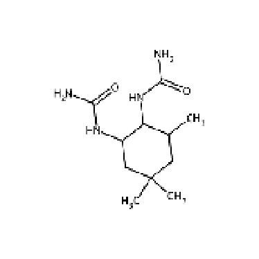 CC1CC(C)(C)CC(NC(N)=O)C1NC(N)=O